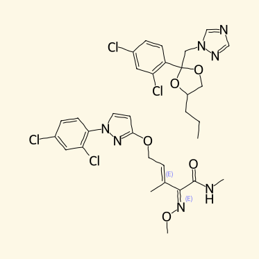 CCCC1COC(Cn2cncn2)(c2ccc(Cl)cc2Cl)O1.CNC(=O)C(=N/OC)/C(C)=C/COc1ccn(-c2ccc(Cl)cc2Cl)n1